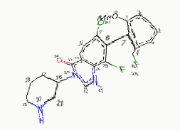 COc1cccc(F)c1-c1c(Cl)cc2c(=O)n(C3CCCNC3)cnc2c1F